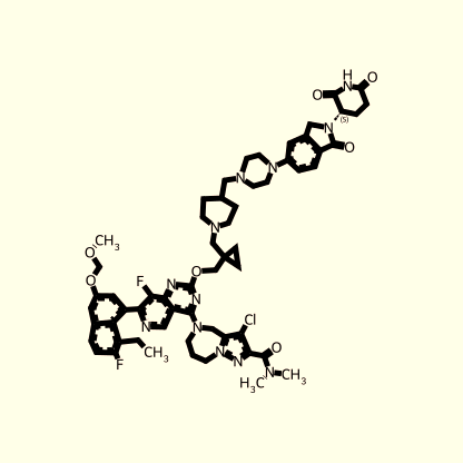 CCc1c(F)ccc2cc(OCOC)cc(-c3ncc4c(N5CCCn6nc(C(=O)N(C)C)c(Cl)c6C5)nc(OCC5(CN6CCC(CN7CCN(c8ccc9c(c8)CN([C@H]8CCC(=O)NC8=O)C9=O)CC7)CC6)CC5)nc4c3F)c12